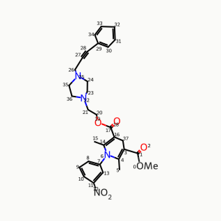 COC(=O)C1=C(C)N(c2cccc([N+](=O)[O-])c2)C(C)=C(C(=O)OCCN2CCN(CC#Cc3ccccc3)CC2)C1